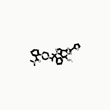 CC(N1CCN(c2ccccc2C(=O)N(C)C)CC1)C(C)(c1ccccc1)n1ncc2c1cc(N)n1nc(-c3ccco3)nc21